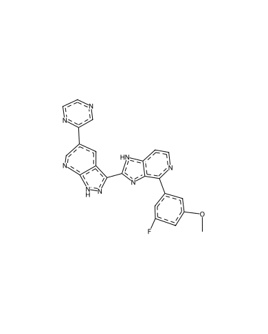 COc1cc(F)cc(-c2nccc3[nH]c(-c4n[nH]c5ncc(-c6cnccn6)cc45)nc23)c1